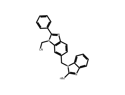 CCCCc1nc2ccccc2n1Cc1ccc2nc(-c3ccccc3)n(CC#N)c2c1